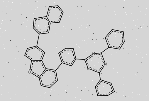 c1ccc(-c2nc(-c3ccccc3)nc(-c3cccc(-c4cccc5oc6ccc(-c7ccc8ccccc8c7)cc6c45)c3)n2)cc1